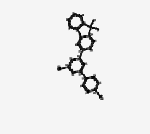 CC1(C)c2ccccc2-c2cc(-c3cc(Cl)cc(-c4ccc(Br)cc4)c3)ccc21